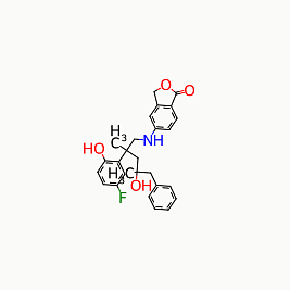 CC(O)(Cc1ccccc1)CC(C)(CNc1ccc2c(c1)COC2=O)c1cc(F)ccc1O